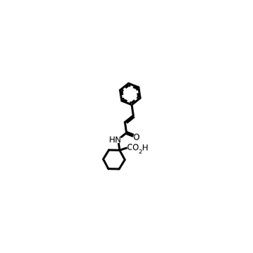 O=C(C=Cc1ccccc1)NC1(C(=O)O)CCCCC1